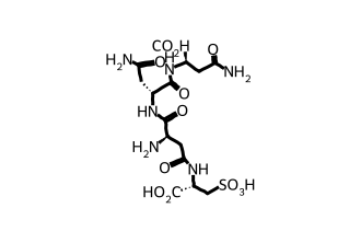 NC(=O)C[C@@H](NC(=O)[C@@H](CC(N)=O)NC(=O)[C@H](N)CC(=O)N[C@H](CS(=O)(=O)O)C(=O)O)C(=O)O